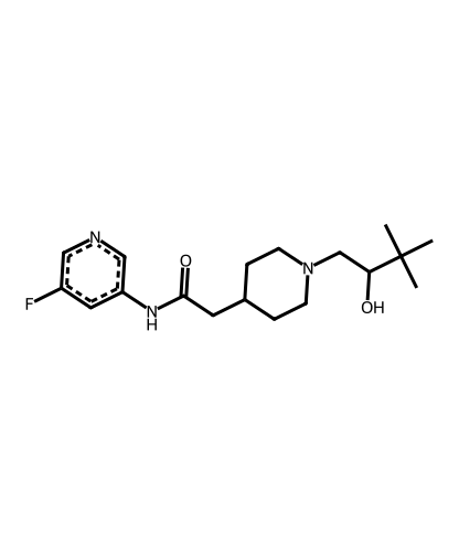 CC(C)(C)C(O)CN1CCC(CC(=O)Nc2cncc(F)c2)CC1